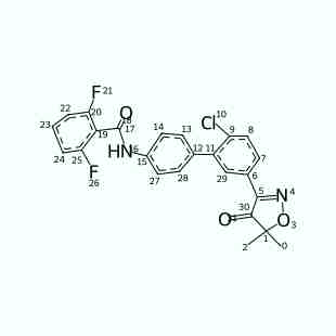 CC1(C)ON=C(c2ccc(Cl)c(-c3ccc(NC(=O)c4c(F)cccc4F)cc3)c2)C1=O